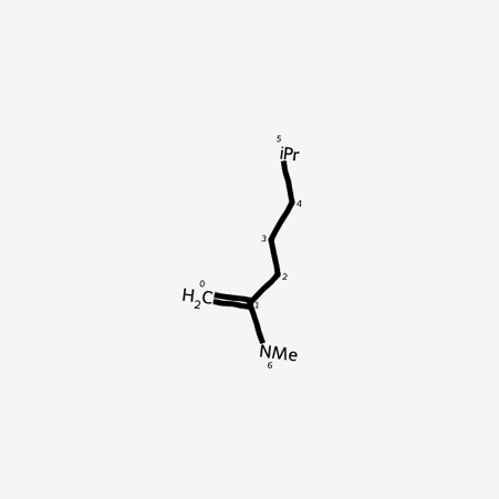 C=C(CCCC(C)C)NC